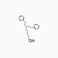 OCCCCCC(CCc1ccccc1)CCc1ccccc1